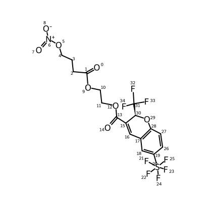 O=C(CCCO[N+](=O)[O-])OCCOC(=O)C1=Cc2cc(S(F)(F)(F)(F)F)ccc2O[C@@H]1C(F)(F)F